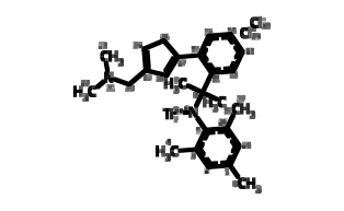 Cc1cc(C)c([N]([Ti+2])C(C)(C)c2ccccc2C2=CC(CN(C)C)=CC2)c(C)c1.[Cl-].[Cl-]